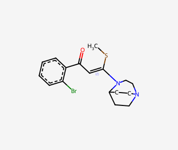 CS/C(=C\C(=O)c1ccccc1Br)N1CCN2CCC1CC2